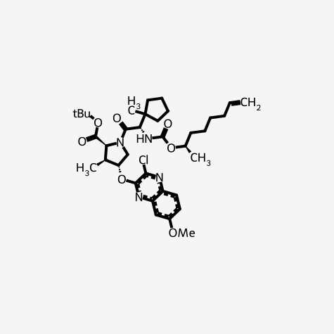 C=CCCCC[C@@H](C)OC(=O)N[C@H](C(=O)N1C[C@H](Oc2nc3cc(OC)ccc3nc2Cl)[C@@H](C)[C@H]1C(=O)OC(C)(C)C)C1(C)CCCC1